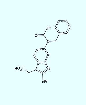 CCCc1nc2cc(N(Cc3ccccc3)C(=O)C(C)C)ccc2n1CC(=O)O